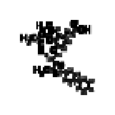 Cc1sc(-c2ccc(-c3ccccc3)cc2)nc1CCOc1ccc(CCC(=O)O)c(CN(C)C(=O)OC(C)C)c1